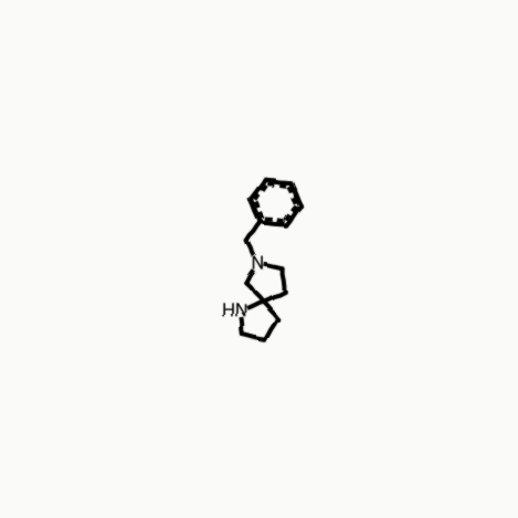 c1ccc(CN2CCC3(CCCN3)C2)cc1